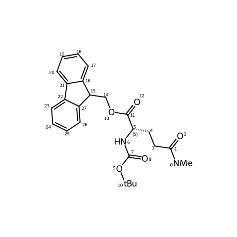 CNC(=O)CC[C@H](NC(=O)OC(C)(C)C)C(=O)OCC1c2ccccc2-c2ccccc21